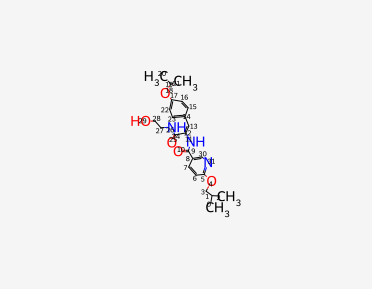 CC(C)COc1ccc(C(=O)NC(=Cc2ccc(OC(C)C)cc2)C(=O)NCCO)cn1